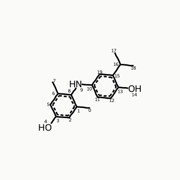 Cc1cc(O)cc(C)c1Nc1ccc(O)c(C(C)C)c1